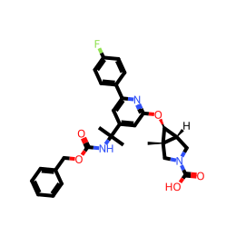 CC(C)(NC(=O)OCc1ccccc1)c1cc(O[C@H]2[C@@H]3CN(C(=O)O)C[C@@]32C)nc(-c2ccc(F)cc2)c1